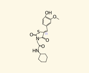 COc1cc(/C=C2\SC(=O)N(CC(=O)NC3CCCCC3)C2=O)ccc1O